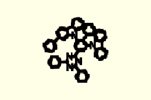 c1ccc(-c2ccc3c4ccccc4n(-c4cc(-c5nc(-c6ccccc6)nc(-c6ccccc6)n5)cc(-n5c6ccccc6c6ccccc65)c4-c4ccccc4)c3c2)cc1